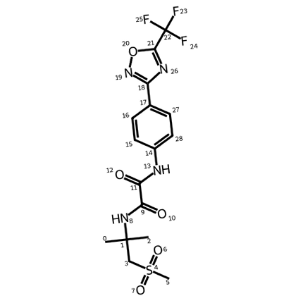 CC(C)(CS(C)(=O)=O)NC(=O)C(=O)Nc1ccc(-c2noc(C(F)(F)F)n2)cc1